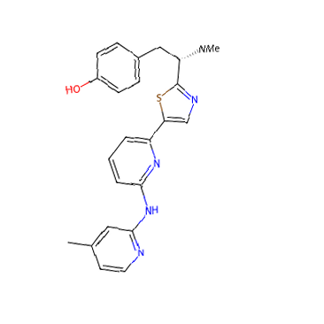 CN[C@@H](Cc1ccc(O)cc1)c1ncc(-c2cccc(Nc3cc(C)ccn3)n2)s1